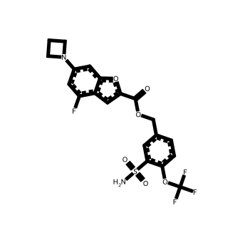 NS(=O)(=O)c1cc(COC(=O)c2cc3c(F)cc(N4CCC4)cc3o2)ccc1OC(F)(F)F